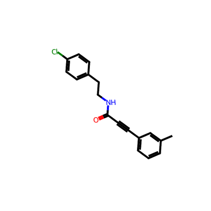 Cc1cccc(C#CC(=O)NCCc2ccc(Cl)cc2)c1